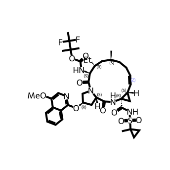 CC[C@@H]1C[C@@H](C)CC/C=C\[C@@H]2C[C@@]2(C(=O)NS(=O)(=O)C2(C)CC2)NC(=O)[C@@H]2C[C@@H](Oc3ncc(OC)c4ccccc34)CN2C(=O)[C@H]1NC(=O)OC(C)(C)C(C)(F)F